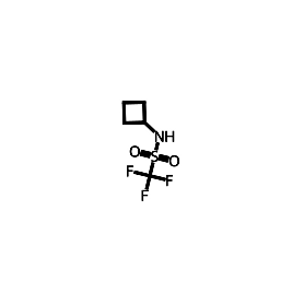 O=S(=O)(NC1CCC1)C(F)(F)F